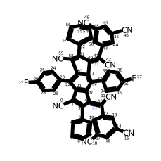 N#CC1=C(c2ccccc2)/C(=C(/C#N)c2cc(C#N)cc(C#N)c2)c2c1c(-c1ccc(F)cc1)c1c(c2-c2ccc(F)cc2)/C(=C(\C#N)c2cc(C#N)cc(C#N)c2)C(c2ccccc2)=C1C#N